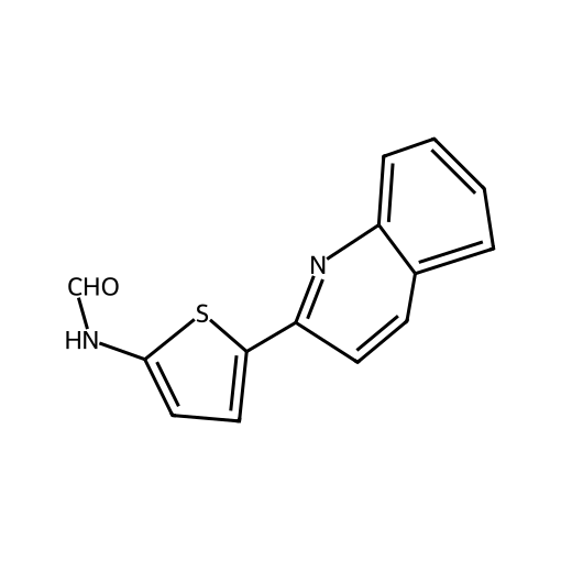 O=CNc1ccc(-c2ccc3ccccc3n2)s1